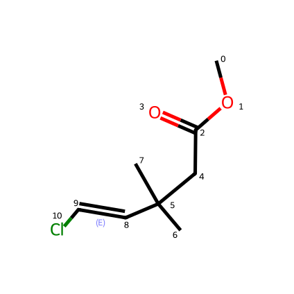 COC(=O)CC(C)(C)/C=C/Cl